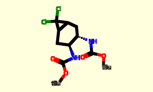 CC(C)(C)OC(=O)N[C@H]1CC2C(C[C@@H]1NC(=O)OC(C)(C)C)C2(Cl)Cl